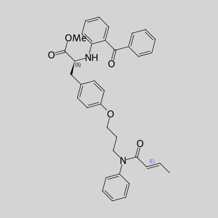 C/C=C/C(=O)N(CCCOc1ccc(C[C@H](Nc2ccccc2C(=O)c2ccccc2)C(=O)OC)cc1)c1ccccc1